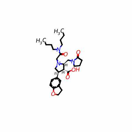 CCCCN(CCCC)C(=O)CN1C[C@H](c2ccc3c(c2)CCO3)[C@@H](C(=O)O)[C@@H]1CN1CCCC1=O